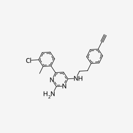 C#Cc1ccc(CCNc2cc(-c3cccc(Cl)c3C)nc(N)n2)cc1